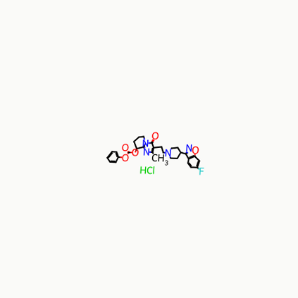 Cc1nc2n(c(=O)c1CCN1CCC(c3noc4cc(F)ccc34)CC1)CCCC2OC(=O)Oc1ccccc1.Cl